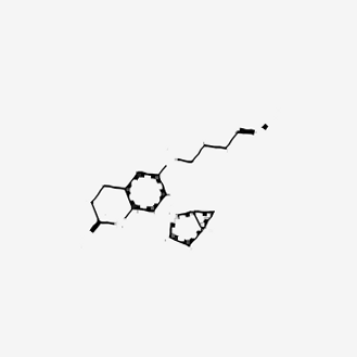 O=S=CCCCOc1ccc2c(c1)CCC(=O)N2.c1cc2cc-2n1